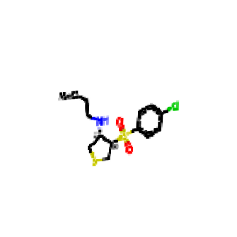 COCCN[C@H]1CSC[C@@H]1S(=O)(=O)c1ccc(Cl)cc1